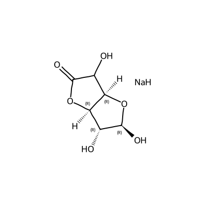 O=C1O[C@@H]2[C@@H](O)[C@H](O)O[C@@H]2C1O.[NaH]